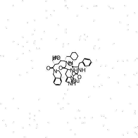 CC(C)C[C@H](C[C@H](O)[C@H](CC1CCCCC1)NC(=O)C(Cc1c[nH]cn1)NC(=O)C(Cc1ccccc1)NC(=O)OC(C)(C)C)C(=O)N1CCc2ccccc2C1